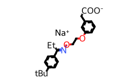 CC/C(=N\OCCOc1cccc(CC(=O)[O-])c1)c1ccc(C(C)(C)C)cc1.[Na+]